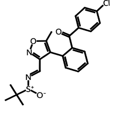 Cc1onc(/C=N/[S+]([O-])C(C)(C)C)c1-c1ccccc1C(=O)c1ccc(Cl)cc1